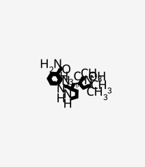 CC1(C)C[C@@H](CC2(c3nc4c(C(N)=O)cccc4[nH]3)CCCN2)C(C)(C)N1O